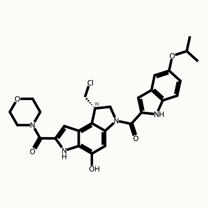 CC(C)Oc1ccc2[nH]c(C(=O)N3C[C@@H](CCl)c4c3cc(O)c3[nH]c(C(=O)N5CCOCC5)cc43)cc2c1